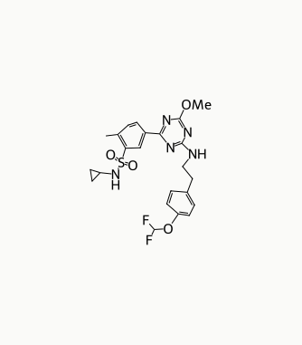 COc1nc(NCCc2ccc(OC(F)F)cc2)nc(-c2ccc(C)c(S(=O)(=O)NC3CC3)c2)n1